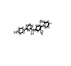 COc1cc(Nc2ncnc(N3CCNCC3)n2)ccc1N1CC=CC=C1Br